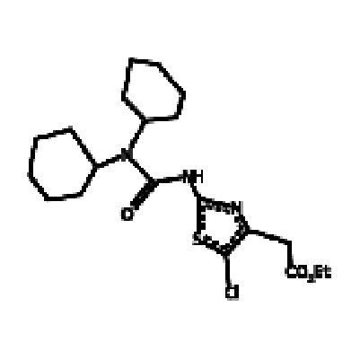 CCOC(=O)Cc1nc(NC(=O)N(C2CCCCC2)C2CCCCC2)sc1Cl